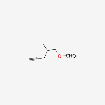 C#CCC(C)CO[C]=O